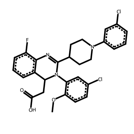 COc1ccc(Cl)cc1N1C(C2CCN(c3cccc(Cl)c3)CC2)=Nc2c(F)cccc2C1CC(=O)O